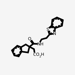 O=C(O)CC1(C(=O)NCCc2nc3ccccc3s2)Cc2ccccc2C1